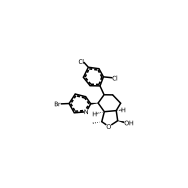 C[C@H]1O[C@H](O)[C@@H]2CCC(c3ccc(Cl)cc3Cl)[C@H](c3ccc(Br)cn3)[C@@H]21